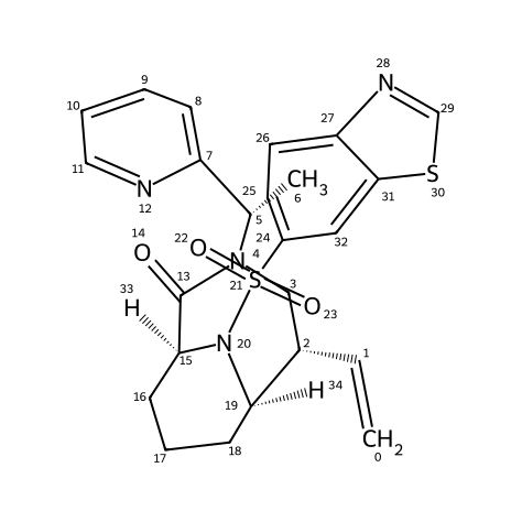 C=C[C@H]1CN([C@@H](C)c2ccccn2)C(=O)[C@@H]2CCC[C@H]1N2S(=O)(=O)c1ccc2ncsc2c1